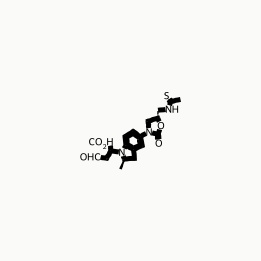 CC(=S)NC[C@H]1CN(c2ccc3c(c2)C[C@@H](C)N3C(CC=O)C(=O)O)C(=O)O1